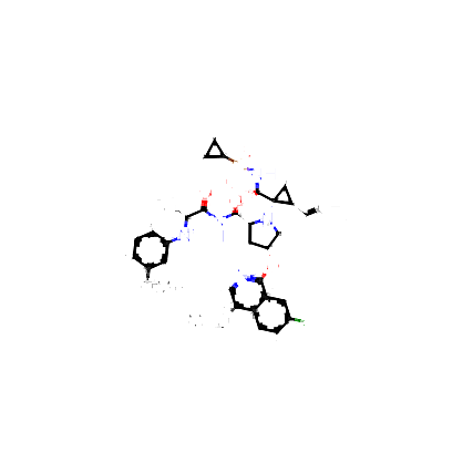 C=C[C@@H]1C[C@@]1(C(=O)NS(=O)(=O)C1CC1)N1C[C@H](Oc2ncc(OC)c3ccc(Cl)cc23)C[C@H]1C(=O)NC(=O)[C@@H](Nc1cccc(OC)c1)C(C)(C)C